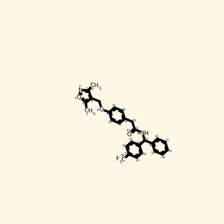 Cc1noc(C)c1COc1ccc(CC(=O)NC(c2ccccc2)c2ccc(C(F)(F)F)cc2)cc1